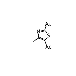 CC(=O)c1nc(C)c(C(C)=O)s1